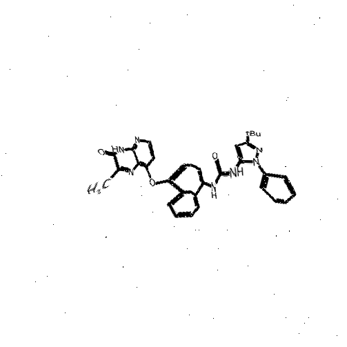 Cc1nc2c(Oc3ccc(NC(=O)Nc4cc(C(C)(C)C)nn4-c4ccccc4)c4ccccc34)ccnc2[nH]c1=O